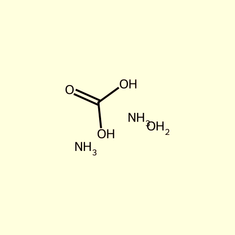 N.N.O.O=C(O)O